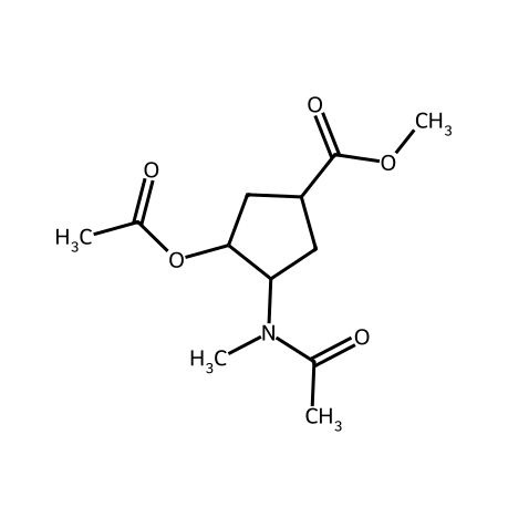 COC(=O)C1CC(OC(C)=O)C(N(C)C(C)=O)C1